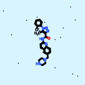 Cc1c(C(=O)Nc2ccc3cc(CN4CCNCC4)ccc3n2)nnn1-c1ccccc1C(F)(F)F